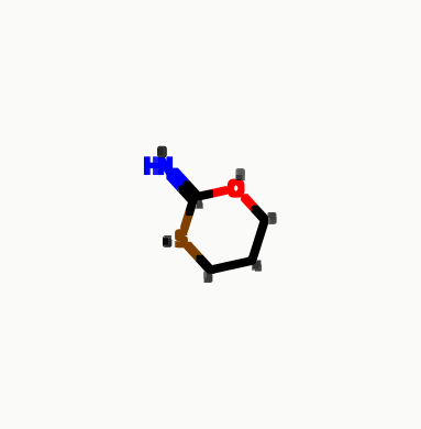 N=C1OCCCS1